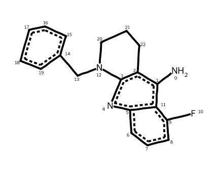 Nc1c2c(nc3cccc(F)c13)N(Cc1ccccc1)CCC2